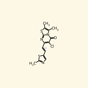 Cc1ncc(/C=C/c2nc3sc(C)c(C)n3c(=O)c2Cl)s1